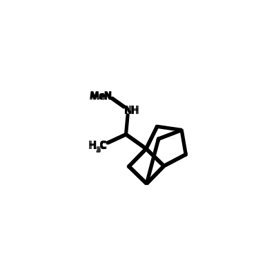 CNNC(C)C12CC3CC(C1)C2C3